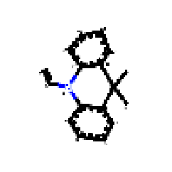 C=CN1c2ccccc2C(C)(C)c2ccccc21